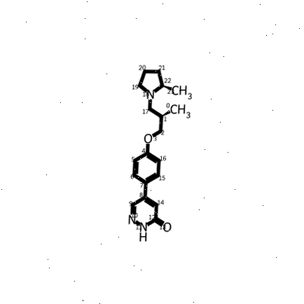 C[C@@H](COc1ccc(-c2cn[nH]c(=O)c2)cc1)CN1CCC[C@H]1C